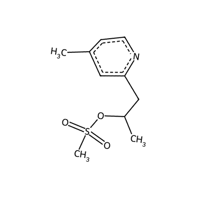 Cc1ccnc(CC(C)OS(C)(=O)=O)c1